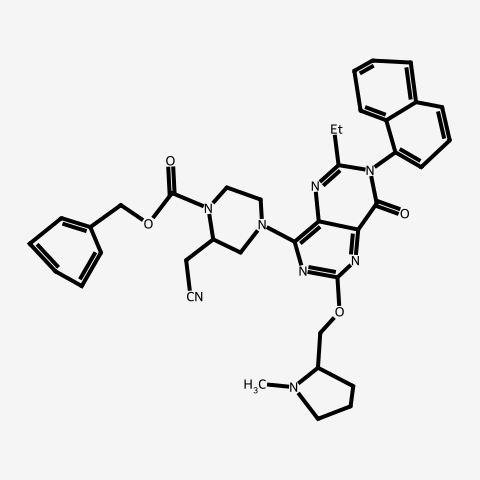 CCc1nc2c(N3CCN(C(=O)OCc4ccccc4)C(CC#N)C3)nc(OCC3CCCN3C)nc2c(=O)n1-c1cccc2ccccc12